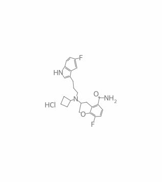 Cl.NC(=O)c1ccc(F)c2c1CC(N(CCCc1c[nH]c3ccc(F)cc13)C1CCC1)CO2